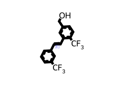 OCc1ccc(C(F)(F)F)c(/C=C/c2cccc(C(F)(F)F)c2)c1